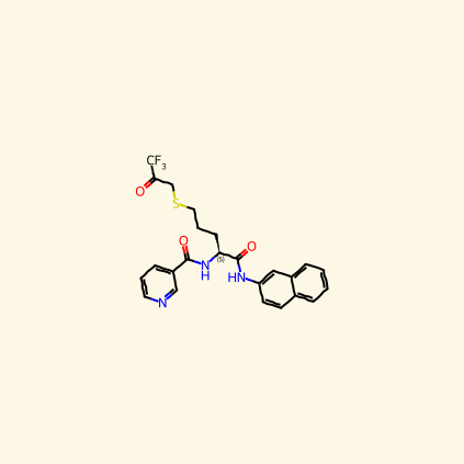 O=C(N[C@@H](CCCSCC(=O)C(F)(F)F)C(=O)Nc1ccc2ccccc2c1)c1cccnc1